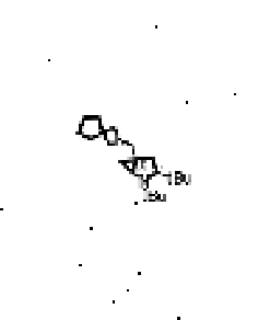 CC(C)(C)[C@@H]1C[C@@]2(CN3CC4(CCCC4)C3)CC2N1C(C)(C)C